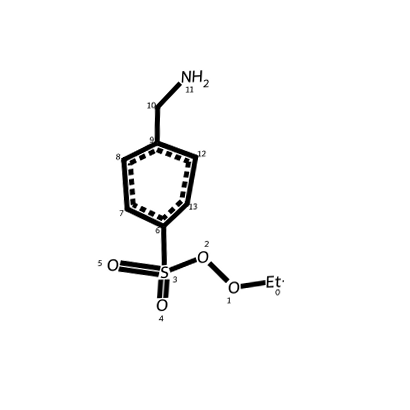 C[CH]OOS(=O)(=O)c1ccc(CN)cc1